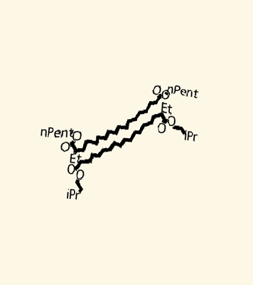 CCC(CCCCCCCCCCCCCCCC(=O)OCCC(C)C)C(=O)OCCC(C)C.CCCCCOC(=O)CCCCCCCCCCCCCCCC(CC)C(=O)OCCCCC